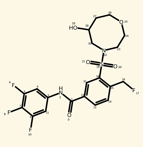 O=C(Nc1cc(F)c(F)c(F)c1)c1ccc(CF)c(S(=O)(=O)N2CCOCCC(O)C2)c1